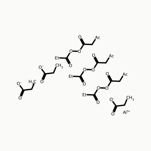 CCC(=O)OOC(=O)CC(C)=O.CCC(=O)OOC(=O)CC(C)=O.CCC(=O)OOC(=O)CC(C)=O.CCC(=O)[O-].CCC(=O)[O-].CCC(=O)[O-].[Al+3]